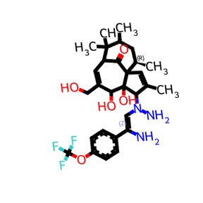 CC1=CC23C(=O)C(C=C(CO)C(O)C2(O)C1N(N)/C=C(\N)c1ccc(OC(F)(F)F)cc1)C(C)(C)C(C)C[C@H]3C